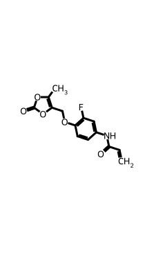 C=CC(=O)Nc1ccc(OCc2oc(=O)oc2C)c(F)c1